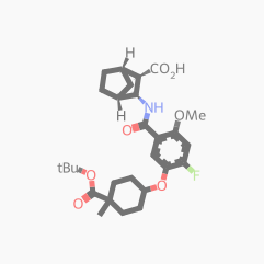 COc1cc(F)c(OC2CCC(C)(C(=O)OC(C)(C)C)CC2)cc1C(=O)N[C@H]1[C@@H]2CC[C@@H](C2)[C@H]1C(=O)O